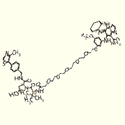 COc1cc(Nc2nc(N[C@H]3CCCC[C@H]3N)n3ccnc3c2C(N)=O)cc(OCCOCCOCCOCCOCCOCC(=O)N[C@H](C(=O)N2C[C@H](O)C[C@H]2C(=O)NCc2ccc(-c3scnc3C)cc2)C(C)(C)C)c1